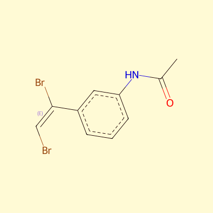 CC(=O)Nc1cccc(/C(Br)=C\Br)c1